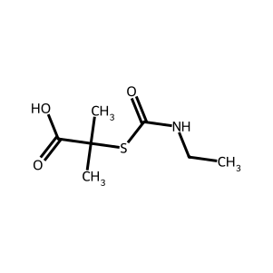 CCNC(=O)SC(C)(C)C(=O)O